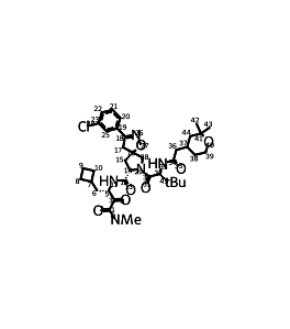 CNC(=O)C(=O)[C@H](CC1CCC1)NC(=O)[C@@H]1C[C@]2(CC(c3cccc(Cl)c3)=NO2)CN1C(=O)[C@@H](NC(=O)CC1CCOC(C)(C)C1)C(C)(C)C